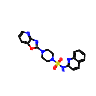 O=S(=O)(Nc1ccc2ccccc2n1)N1CCN(c2nc3ncccc3o2)CC1